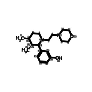 C[C@H]1CCN(CCN2CCOCC2)C(c2cccc(O)c2)[C@@H]1C